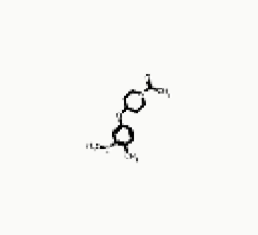 COc1cc(OC2CCN(C(C)=O)CC2)ccc1C